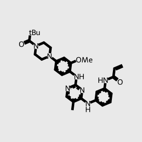 C=CC(=O)Nc1cccc(Nc2nc(Nc3ccc(N4CCN(C(=O)C(C)(C)C)CC4)cc3OC)ncc2C)c1